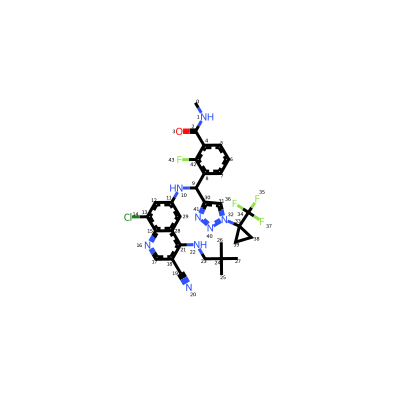 CNC(=O)c1cccc(C(Nc2cc(Cl)c3ncc(C#N)c(NCC(C)(C)C)c3c2)c2cn(C3(C(F)(F)F)CC3)nn2)c1F